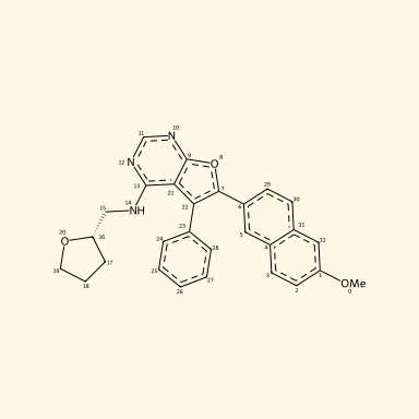 COc1ccc2cc(-c3oc4ncnc(NC[C@@H]5CCCO5)c4c3-c3ccccc3)ccc2c1